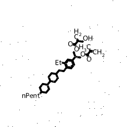 C=C(C)C(=O)OCC(COC(=O)C(=C)CO)c1ccc(CCC2CCC(C3CCC(CCCCC)CC3)CC2)c(CC)c1